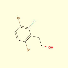 OCCc1c(Br)ccc(Br)c1F